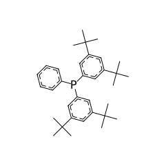 CC(C)(C)c1cc(P(c2ccccc2)c2cc(C(C)(C)C)cc(C(C)(C)C)c2)cc(C(C)(C)C)c1